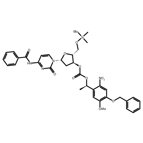 COc1cc([C@@H](C)OC(=O)O[C@H]2C[C@H](n3ccc(NC(=O)c4ccccc4)nc3=O)O[C@@H]2CO[Si](C)(C)C(C)(C)C)c([N+](=O)[O-])cc1OCc1ccccc1